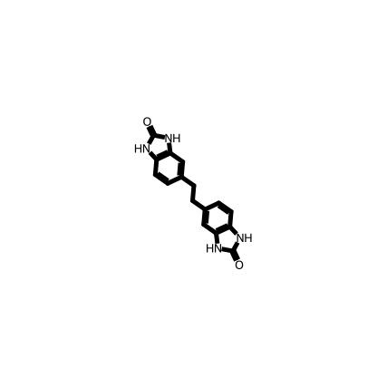 O=c1[nH]c2ccc(CCc3ccc4[nH]c(=O)[nH]c4c3)cc2[nH]1